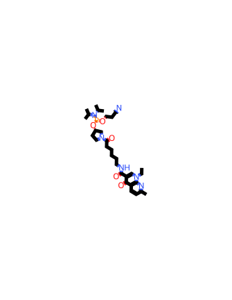 CCn1cc(C(=O)NCCCCCC(=O)N2CC[C@@H](OP(OCCC#N)N(C(C)C)C(C)C)C2)c(=O)c2ccc(C)nc21